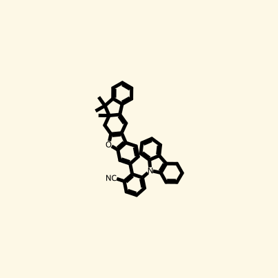 CC12Cc3oc4cc(-c5c(C#N)cccc5-n5c6c(c7ccccc75)CCC=C6)ccc4c3C=C1c1ccccc1C2(C)C